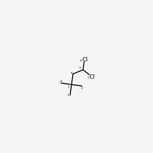 [CH2]C(C)(C)CC(Cl)Cl